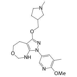 COc1ncc(-n2nc(OCC3CCN(C)C3)c3c2NCOCC3)cc1C